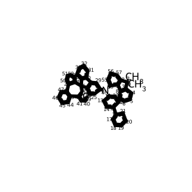 CC1(C)c2ccccc2-c2c(N(c3ccc(-c4ccccc4)cc3)c3ccc4c(c3)-c3ccccc3C43c4ccccc4-c4ccccc4-c4ccccc43)cccc21